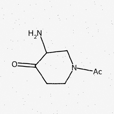 CC(=O)N1CCC(=O)C(N)C1